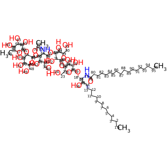 CCCCCCCCCCCCC/C=C/[C@@H](O)[C@H](CO[C@@H]1OC(CO)[C@@H](O[C@@H]2OC(CO)[C@H](O)[C@H](O[C@@H]3OC(CO)[C@@H](O)[C@H](O[C@@H]4OC(CO)[C@H](O)[C@H](O)C4O[C@H]4OC(C)[C@@H](O)C(O)[C@@H]4O)C3NC(C)=O)C2O)[C@H](O)C1O)NC(=O)CCCCCCCCCCCCCCCCC